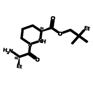 CC[C@H](N)C(=O)N1CCC[C@@H](C(=O)OCC(C)(C)CC)N1